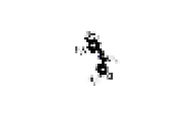 Cc1ccc(C(/C=C/c2ccc(CN)c(C(F)(F)F)c2)C(F)(F)F)cc1Cl